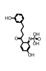 O=C(CCCc1cccc(O)c1)C1C=CC(O)=C/C1=N\P(=O)(O)O